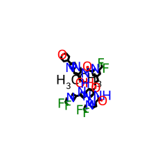 CC(C)(O)c1cc2nc(C3CCOCC3)cn2cc1NC(=O)c1cc(CCOc2cc3nc(C4CN(CC(F)F)C4)cn3cc2NC(=O)c2ccn(CC(F)F)n2)cc(C(F)F)n1